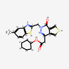 O=C(Cc1nn(Cc2nc3cc(C(F)(F)F)ccc3s2)c(=O)c2cscc12)OC1CCCCC1